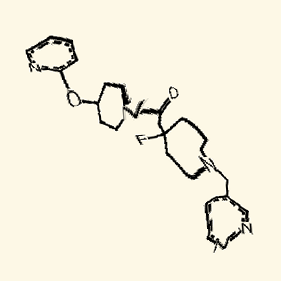 O=C(N1CCC(Oc2ccccn2)CC1)C1(F)CCN(Cc2ccnnc2)CC1